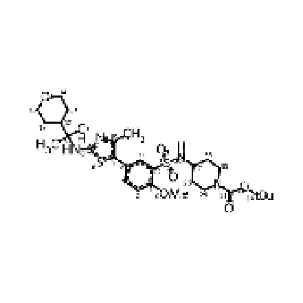 COc1ccc(-c2sc(NC(C)(C)C3CCOCC3)nc2C)cc1S(=O)(=O)NC1CCN(C(=O)OC(C)(C)C)CC1